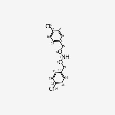 Clc1ccc(CONOCc2ccc(Cl)cc2)cc1